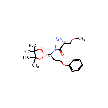 COC[C@@H](N)C(=O)N[C@@H](CCOc1ccccc1)B1OC(C)(C)C(C)(C)O1